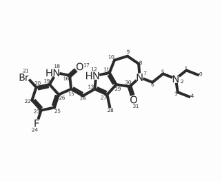 CCN(CC)CCN1CCCc2[nH]c(C=C3C(=O)Nc4c(Br)cc(F)cc43)c(C)c2C1=O